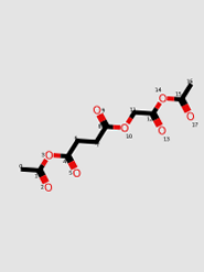 CC(=O)OC(=O)CCC(=O)OCC(=O)OC(C)=O